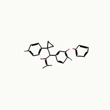 CC(F)=C(O)C(c1ccc(F)c(Oc2ccccc2)c1)C1(c2ccc(Cl)cc2)CC1